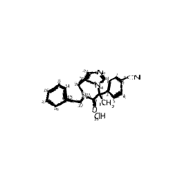 CC1(c2ccc(C#N)cc2)C(=O)N(Cc2ccccc2)Cc2cncn21.Cl